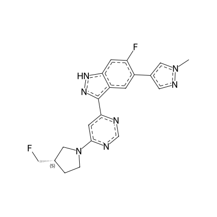 Cn1cc(-c2cc3c(-c4cc(N5CC[C@H](CF)C5)ncn4)n[nH]c3cc2F)cn1